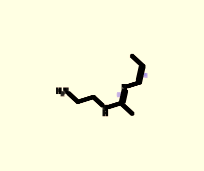 C/C=C\N=C(/C)NCCN